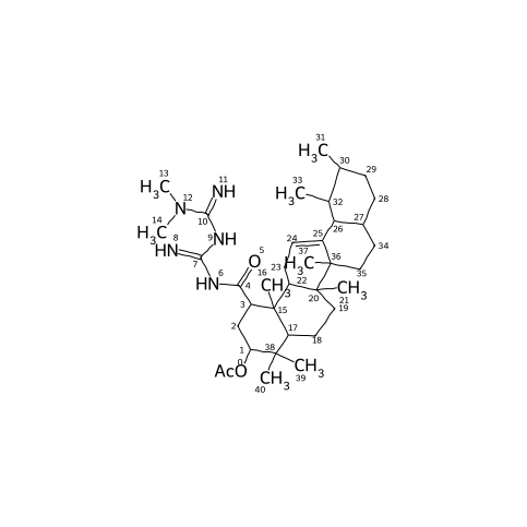 CC(=O)OC1CC(C(=O)NC(=N)NC(=N)N(C)C)C2(C)C(CCC3(C)C2CC=C2C4C(CCC(C)C4C)CCC23C)C1(C)C